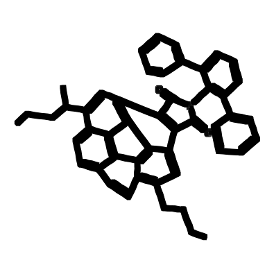 CCCCc1cc2c3c(=O)n(-c4c(-c5ccccc5)cccc4-c4ccccc4)c(=O)c3c3cc(C(C)CCC)c4ccc5ccc1c1c5c4c3c21